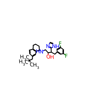 CC(C)(C)Cc1ccc2c(c1)C(NCC(O)C(Cc1cc(F)cc(F)c1)c1ncc[nH]1)CCC2